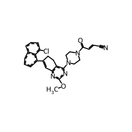 COc1nc2c(c(N3CCN(C(=O)/C=C/C#N)CC3)n1)CCC(c1cccc3cccc(Cl)c13)=C2